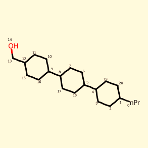 CCCC1CCC(C2CCC(C3CCC(CO)CC3)CC2)CC1